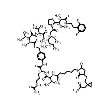 CC[C@H](C)[C@@H]([C@@H](CC(=O)N1CCC[C@H]1[C@H](OC)[C@@H](C)C(=O)NCCc1c(F)cccc1F)OC)N(C)C(=O)[C@@H](NC(=O)[C@H](C(C)C)N(C)C(=O)OCc1ccc(NC(=O)[C@H](CCCNC(N)=O)NC(=O)[C@@H](NC(=O)CCCCCN2C(=O)CC(SCC3(CC(N)=O)CC3)C2=O)C(C)C)cc1)C(C)C